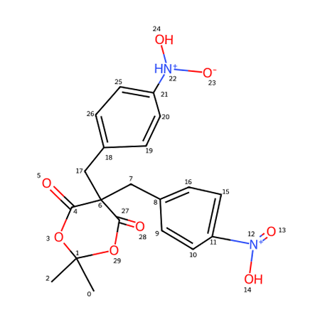 CC1(C)OC(=O)C(Cc2ccc([N+](=O)O)cc2)(Cc2ccc([NH+]([O-])O)cc2)C(=O)O1